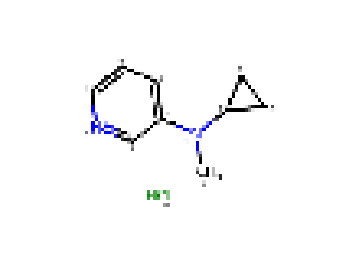 CN(c1cccnc1)C1CC1.Cl